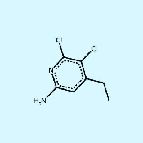 CCc1cc(N)nc(Cl)c1Cl